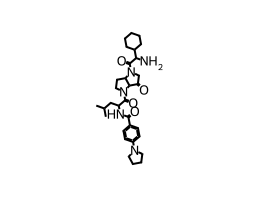 CC(C)CC(NC(=O)c1ccc(N2CCCC2)cc1)C(=O)N1CCC2C1C(=O)CN2C(=O)C(N)C1CCCCC1